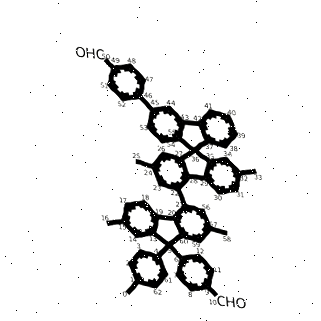 Cc1ccc(C2(c3ccc(C=O)cc3)c3cc(C)ccc3-c3c(-c4cc(C)cc5c4-c4ccc(C)cc4C54c5ccccc5-c5cc(-c6ccc(C=O)cc6)ccc54)cc(C)cc32)cc1